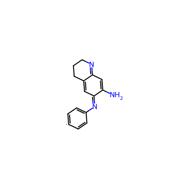 NC1=CC2=NCCCC2=CC1=Nc1cc[c]cc1